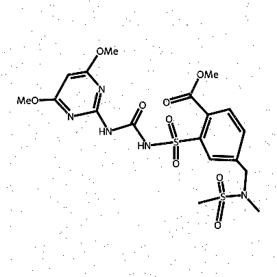 COC(=O)c1ccc(CN(C)S(C)(=O)=O)cc1S(=O)(=O)NC(=O)Nc1nc(OC)cc(OC)n1